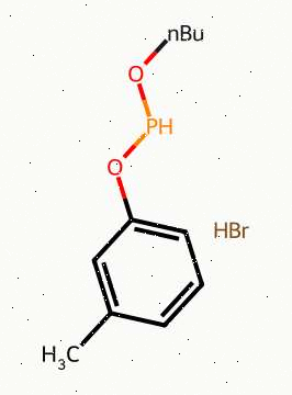 Br.CCCCOPOc1cccc(C)c1